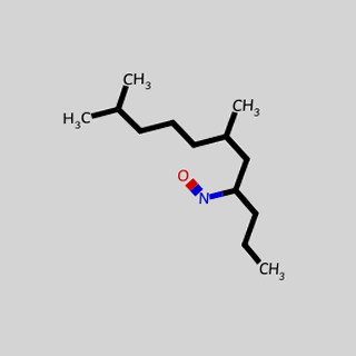 CCCC(CC(C)CCCC(C)C)N=O